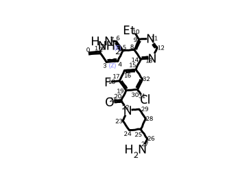 C=C(N)/C=C\C(=C/N)c1c(CC)ncnc1-c1cc(F)c(C(=O)N2CCC(CN)CC2)c(Cl)c1